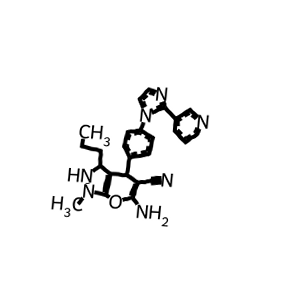 CCCC1NN(C)C2=C1C(c1ccc(-n3ccnc3-c3cccnc3)cc1)C(C#N)=C(N)O2